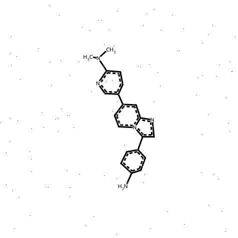 CN(C)c1ccc(-c2ccn3c(-c4ccc(N)cc4)cnc3c2)cn1